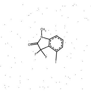 CN1C(=O)C(F)(F)c2c(I)cccc21